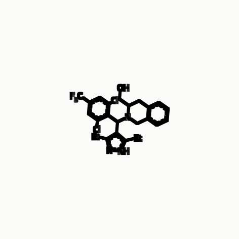 CCc1n[nH]c(CC)c1C(c1c(Cl)cc(C(F)(F)F)cc1Cl)N1Cc2ccccc2CC1CO